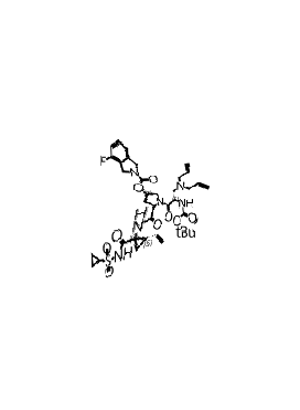 C=CCN(CC=C)C[C@H](NC(=O)OC(C)(C)C)C(=O)N1C[C@H](OC(=O)N2Cc3cccc(F)c3C2)CC1C(=O)N[C@]1(C(=O)NS(=O)(=O)C2CC2)C[C@H]1C=C